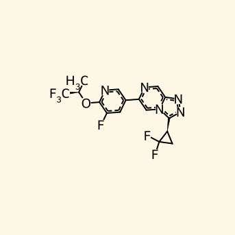 C[C@@H](Oc1ncc(-c2cn3c([C@H]4CC4(F)F)nnc3cn2)cc1F)C(F)(F)F